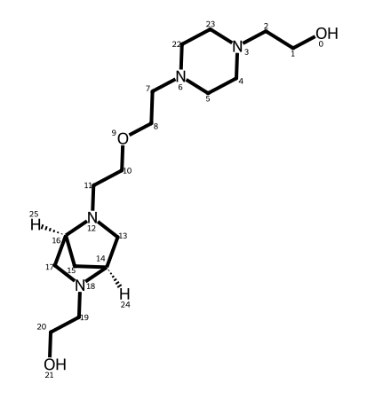 OCCN1CCN(CCOCCN2C[C@@H]3C[C@H]2CN3CCO)CC1